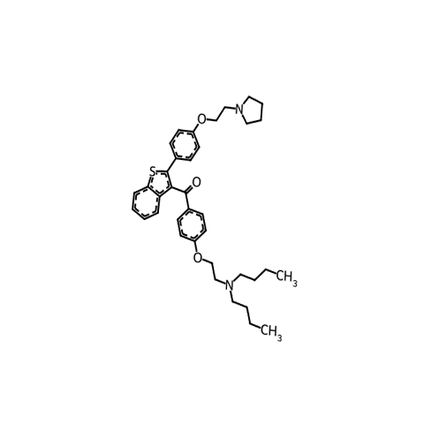 CCCCN(CCCC)CCOc1ccc(C(=O)c2c(-c3ccc(OCCN4CCCC4)cc3)sc3ccccc23)cc1